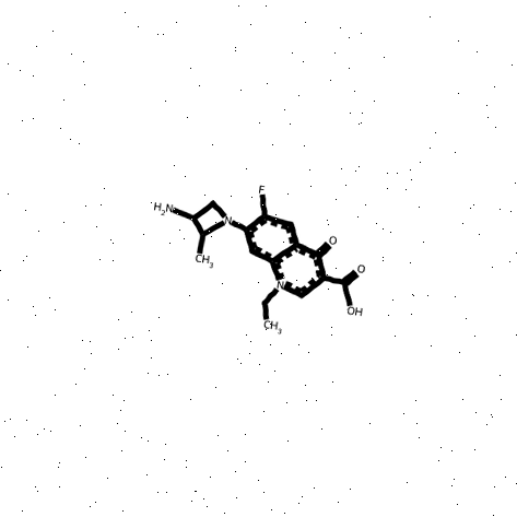 CCn1cc(C(=O)O)c(=O)c2cc(F)c(N3CC(N)C3C)cc21